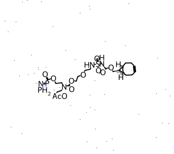 CC(=O)OCCN(CCOC(=O)/P=N/P)C(=O)OCCOCCNS(=O)(=O)NC(=O)OC[C@@H]1[C@@H]2CCC#CCC[C@@H]21